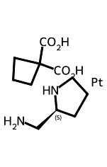 NC[C@@H]1CCCN1.O=C(O)C1(C(=O)O)CCC1.[Pt]